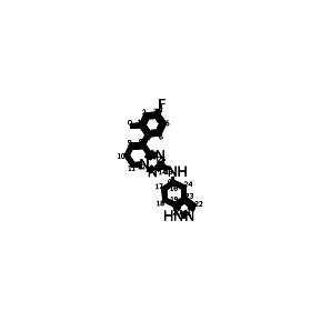 Cc1cc(F)ccc1C1=CCCn2nc(N[C@@H]3CCc4[nH]ncc4C3)nc21